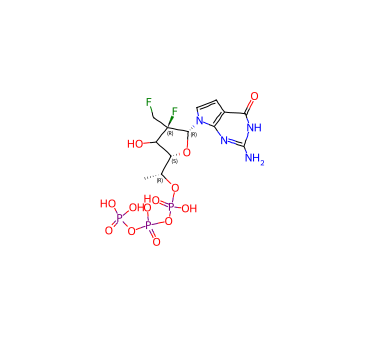 C[C@@H](OP(=O)(O)OP(=O)(O)OP(=O)(O)O)[C@H]1O[C@@H](n2ccc3c(=O)[nH]c(N)nc32)[C@@](F)(CF)C1O